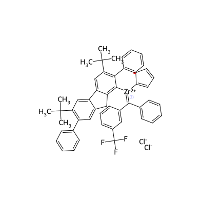 CC(C)(C)c1cc2c(cc1-c1ccccc1)Cc1c-2cc(C(C)(C)C)c(-c2ccccc2)[c]1/[Zr+2]([C]1=CC=CC1)=[C](/c1ccccc1)c1cccc(C(F)(F)F)c1.[Cl-].[Cl-]